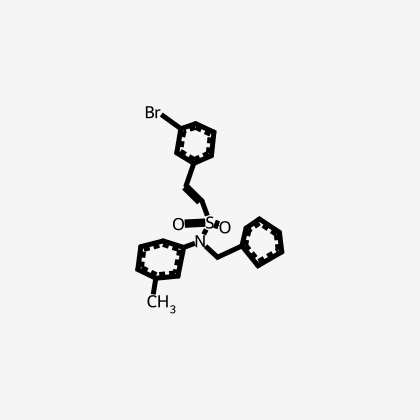 Cc1cccc(N(Cc2ccccc2)S(=O)(=O)/C=C/c2cccc(Br)c2)c1